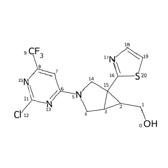 OCC1C2CN(c3cc(C(F)(F)F)nc(Cl)n3)CC12c1nccs1